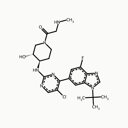 CNCC(=O)N1CC[C@@H](Nc2ncc(Cl)c(-c3cc(F)c4ncn(C(C)(C)C)c4c3)n2)[C@H](O)C1